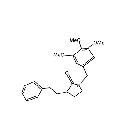 COc1cc(CN2CCC(CCc3ccccc3)C2=O)cc(OC)c1OC